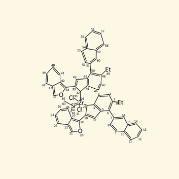 CCc1ccc2c(c1-c1ccc3ccccc3c1)C=C(c1occ3ccccc13)[CH]2[Zr]([Cl])([Cl])([CH]1C(c2occ3ccccc23)=Cc2c1ccc(CC)c2-c1ccc2ccccc2c1)=[Si](C)C